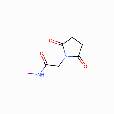 O=C(CN1C(=O)CCC1=O)NI